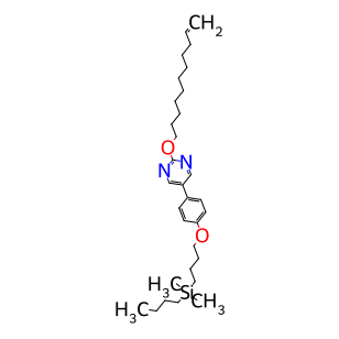 C=CCCCCCCCCCOc1ncc(-c2ccc(OCCCC[Si](C)(C)CCCC)cc2)cn1